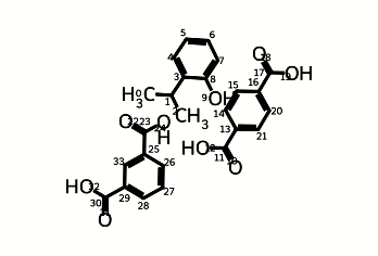 CC(C)c1ccccc1O.O=C(O)c1ccc(C(=O)O)cc1.O=C(O)c1cccc(C(=O)O)c1